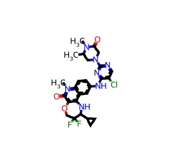 CC1CN(c2ncc(Cl)c(Nc3ccc4c(c3)c3c(c(=O)n4C)OCC(F)(F)C(C4CC4)N3)n2)CC(=O)N1C